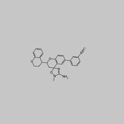 [C-]#[N+]c1cccc(-c2ccc3c(c2)C2(CC(C4CCOc5ccccc54)O3)N=C(N)N(C)O2)c1